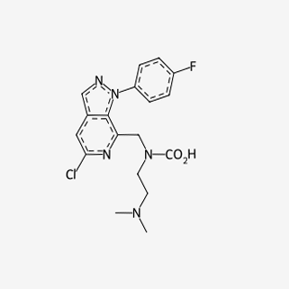 CN(C)CCN(Cc1nc(Cl)cc2cnn(-c3ccc(F)cc3)c12)C(=O)O